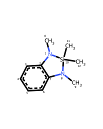 CN1c2ccccc2N(C)[Si]1(C)C